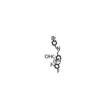 Cc1cc(F)cc(F)c1Oc1nccc(CCN(C)Cc2ccc(Br)cc2)c1C=O